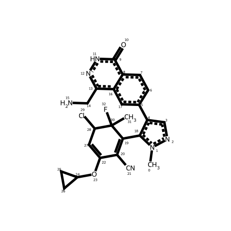 Cn1ncc(-c2ccc3c(=O)[nH]nc(CN)c3c2)c1C1=C(C#N)C(OC2CC2)=CC(Cl)C1(C)F